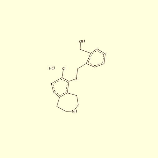 Cl.OCc1ccccc1CSc1c(Cl)ccc2c1CCNCC2